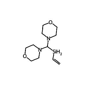 C=C[SiH2]C(N1CCOCC1)N1CCOCC1